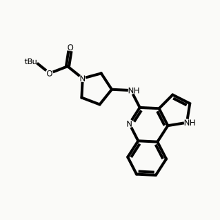 CC(C)(C)OC(=O)N1CCC(Nc2nc3ccccc3c3[nH]ccc23)C1